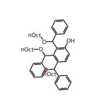 CCCCCCCCOC(c1ccccc1)c1ccc(O)c(C(OCCCCCCCC)c2ccccc2)c1C(OCCCCCCCC)c1ccccc1